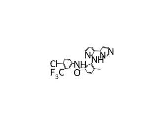 Cc1ccc(C(=O)Nc2ccc(Cl)c(C(F)(F)F)c2)cc1Nc1ncccc1-c1ccncn1